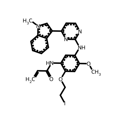 C=CC(=O)Nc1cc(Nc2nccc(-c3cn(C)c4ccccc34)n2)c(OC)cc1OCCI